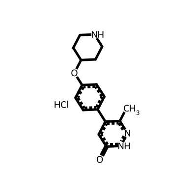 Cc1n[nH]c(=O)cc1-c1ccc(OC2CCNCC2)cc1.Cl